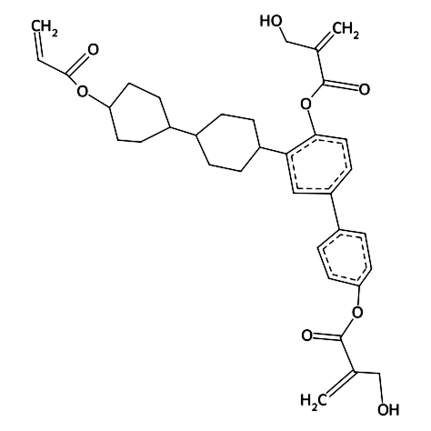 C=CC(=O)OC1CCC(C2CCC(c3cc(-c4ccc(OC(=O)C(=C)CO)cc4)ccc3OC(=O)C(=C)CO)CC2)CC1